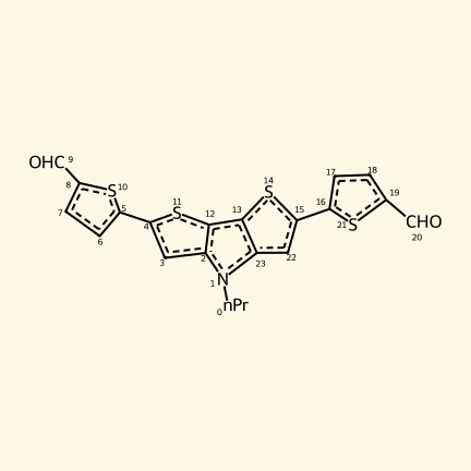 CCCn1c2cc(-c3ccc(C=O)s3)sc2c2sc(-c3ccc(C=O)s3)cc21